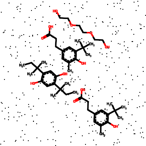 CCC(C)(C)c1cc(O)c(C(C)(C)CC)cc1O.Cc1cc(CCC(=O)O)cc(C(C)(C)C)c1O.Cc1cc(CCC(=O)O)cc(C(C)(C)C)c1O.OCCOCCOCCO